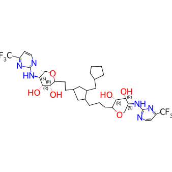 O[C@@H]1[C@@H](Nc2nccc(C(F)(F)F)n2)COC(CCCC2CC(CCC3OC[C@H](Nc4nccc(C(F)(F)F)n4)[C@@H](O)[C@H]3O)CC2CC2CCCC2)[C@@H]1O